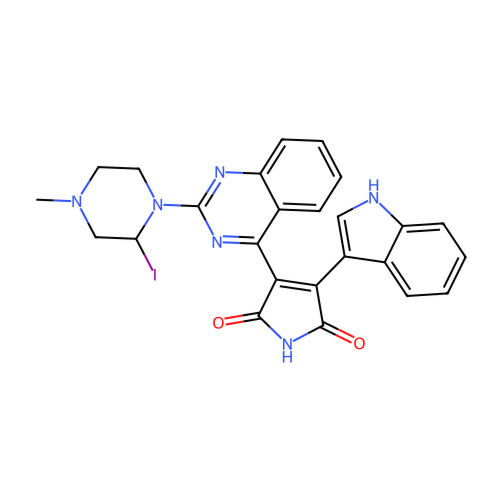 CN1CCN(c2nc(C3=C(c4c[nH]c5ccccc45)C(=O)NC3=O)c3ccccc3n2)C(I)C1